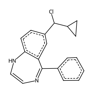 ClC(c1ccc2c(c1)C(c1ccccc1)=NC=CN2)C1CC1